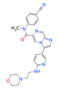 CN(C(=O)c1cn2c(-c3ccc(NCCN4CCOCC4)nc3)cnc2cn1)c1ccc(C#N)cc1